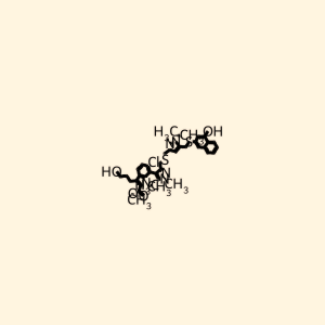 COC(=O)c1c(CCCO)c2ccc(Cl)c(-c3c(CSCc4cc(CSc5cc(O)c6ccccc6c5)n(C(C)C)n4)nn(C)c3C)c2n1C